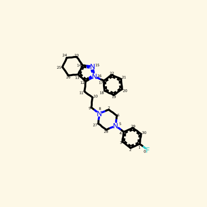 Fc1ccc(N2CCN(CCCc3c4c(nn3-c3ccccc3)CCCC4)CC2)cc1